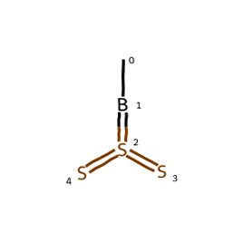 CB=S(=S)=S